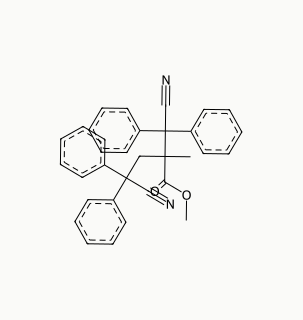 COC(=O)C(C)(CC(C#N)(c1ccccc1)c1ccccc1)C(C#N)(c1ccccc1)c1ccccc1